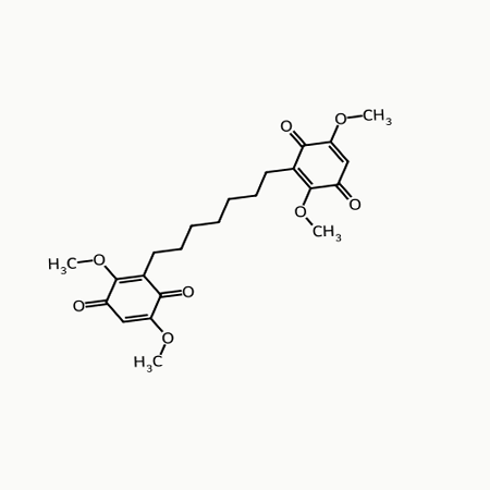 COC1=CC(=O)C(OC)=C(CCCCCCCC2=C(OC)C(=O)C=C(OC)C2=O)C1=O